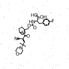 CC(C)(C=C(C#N)C(=O)N1C2CCC1(COC(=O)NC(Cc1ccc(F)cc1)B(O)O)CC2)N1CCOCC1